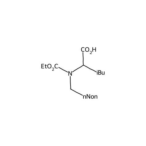 CCCCCCCCCCN(C(=O)OCC)C(C(=O)O)C(C)CC